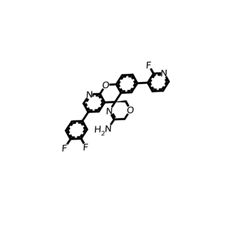 NC1=N[C@@]2(COC1)c1cc(-c3cccnc3F)ccc1Oc1ncc(-c3ccc(F)c(F)c3)cc12